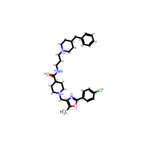 Cc1oc(-c2ccc(Cl)cc2)nc1CN1CCC(C(=O)NCCCN2CCC(Cc3ccccc3)CC2)CC1